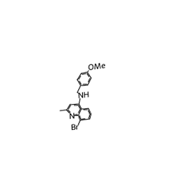 COc1ccc(CNc2cc(C)nc3c(Br)cccc23)cc1